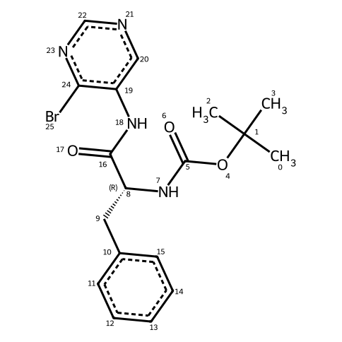 CC(C)(C)OC(=O)N[C@H](Cc1ccccc1)C(=O)Nc1cncnc1Br